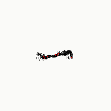 COC1CCN(c2nccc(Nc3cc4c(cn3)nc(COCCN3CCN(c5ccc(OCCCN6CCN(c7ccc8c(c7)C(=O)N(C(C)CCC(=O)NC=O)C8=O)CC6)cc5)CC3)n4C(C)C)n2)CC1